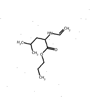 C=CNC(CC(C)C)C(=O)OCCC